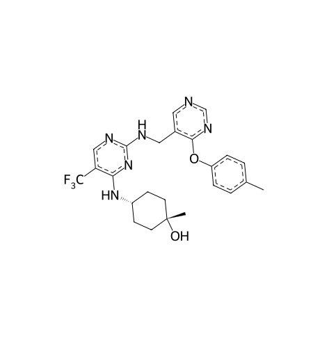 Cc1ccc(Oc2ncncc2CNc2ncc(C(F)(F)F)c(N[C@H]3CC[C@@](C)(O)CC3)n2)cc1